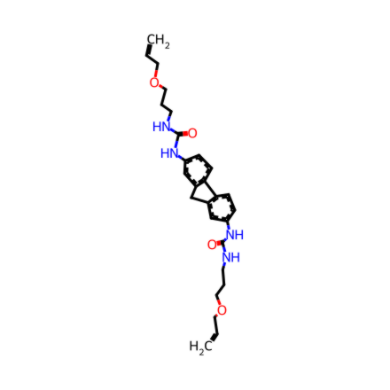 C=CCOCCCNC(=O)Nc1ccc2c(c1)Cc1cc(NC(=O)NCCCOCC=C)ccc1-2